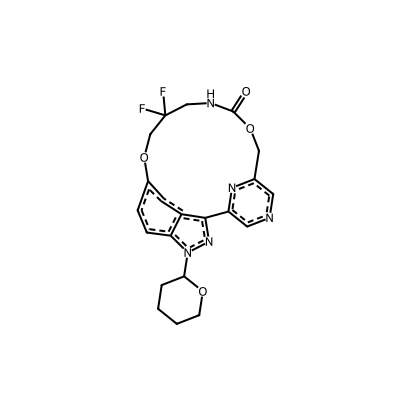 O=C1NCC(F)(F)COc2ccc3c(c2)c(nn3C2CCCCO2)-c2cncc(n2)CO1